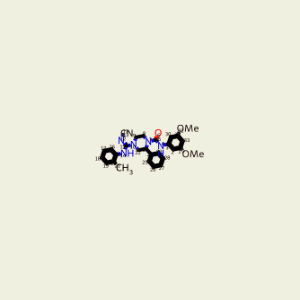 COc1cc(NC(=O)N2CCN(/C(=N\C#N)Nc3ccccc3C)CC2c2ccccc2)cc(OC)c1